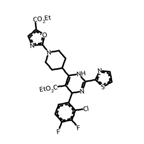 CCOC(=O)C1=C(C2CCN(c3ncc(C(=O)OCC)o3)CC2)NC(c2nccs2)=NC1c1ccc(F)c(F)c1Cl